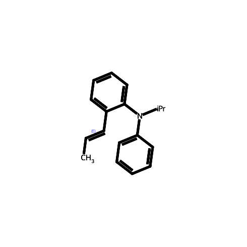 C/C=C/c1ccccc1N(c1ccccc1)C(C)C